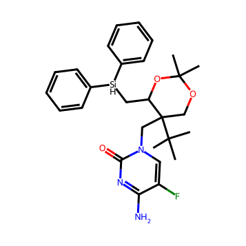 CC1(C)OCC(Cn2cc(F)c(N)nc2=O)(C(C)(C)C)C(C[SiH](c2ccccc2)c2ccccc2)O1